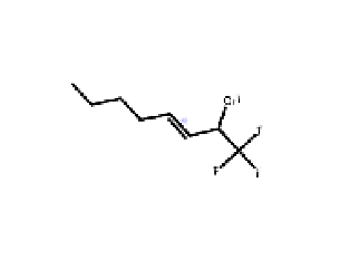 CCCC/C=C/C(O)C(F)(F)F